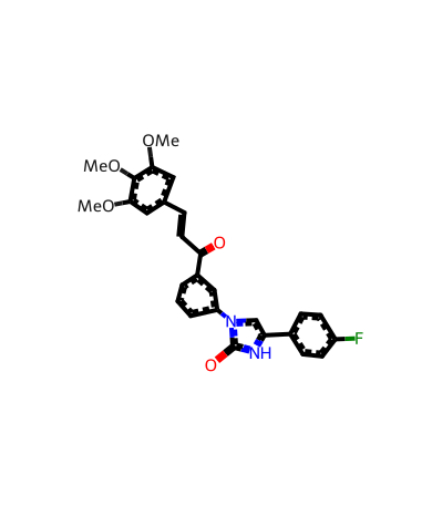 COc1cc(C=CC(=O)c2cccc(-n3cc(-c4ccc(F)cc4)[nH]c3=O)c2)cc(OC)c1OC